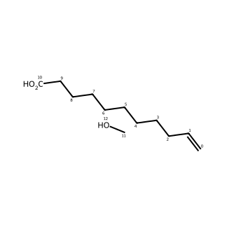 C=CCCCCCCCCC(=O)O.CO